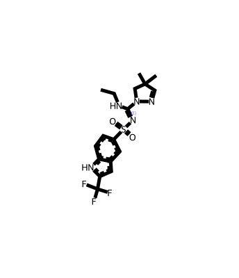 CCN/C(=N\S(=O)(=O)c1ccc2[nH]c(C(F)(F)F)cc2c1)N1CC(C)(C)C=N1